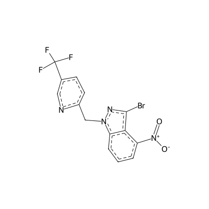 O=[N+]([O-])c1cccc2c1c(Br)nn2Cc1ccc(C(F)(F)F)cn1